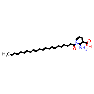 CC/C=C/C/C=C/C/C=C/C/C=C/C/C=C/C/C=C/CCC(=O)N1C=CC=C(C(=O)O)C1N